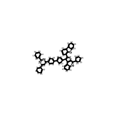 c1ccc(-c2cc(-c3ccc(-c4ccc(-c5c(-c6cccc7c6sc6ccccc67)sc6c(-c7ccccc7)nc7ccccc7c56)cc4)cc3)nc(-c3ccccc3)n2)cc1